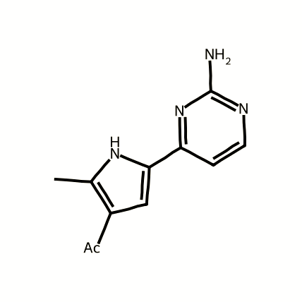 CC(=O)c1cc(-c2ccnc(N)n2)[nH]c1C